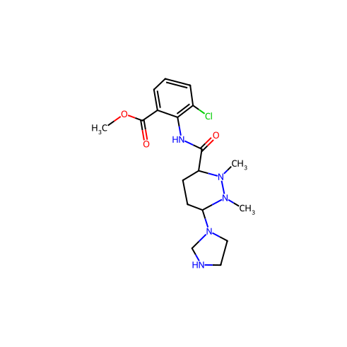 COC(=O)c1cccc(Cl)c1NC(=O)C1CCC(N2CCNC2)N(C)N1C